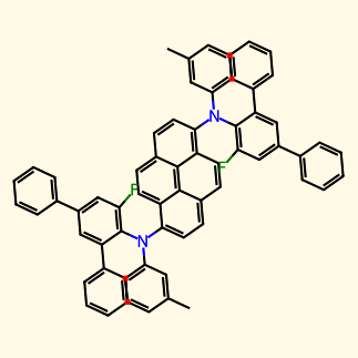 Cc1cccc(N(c2c(F)cc(-c3ccccc3)cc2-c2ccccc2)c2ccc3ccc4c(N(c5cccc(C)c5)c5c(F)cc(-c6ccccc6)cc5-c5ccccc5)ccc5ccc2c3c54)c1